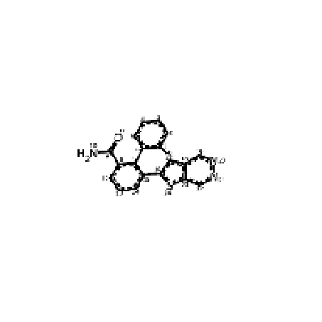 Cc1ccccc1-c1c(C(N)=O)cccc1-c1cc2cnncc2s1